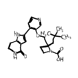 CC(C)(C)CC1(COc2cnccc2-c2cc3c([nH]2)CCNC3=O)CCN1C(=O)O